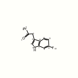 CC(C)C(=O)Cc1c[nH]c2cc(F)ccc12